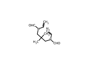 C=CN(C=O)CC(C)(C)CN(C=C)C=O